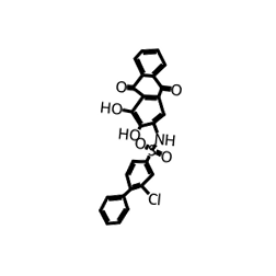 O=C1c2ccccc2C(=O)c2c1cc(NS(=O)(=O)c1ccc(-c3ccccc3)c(Cl)c1)c(O)c2O